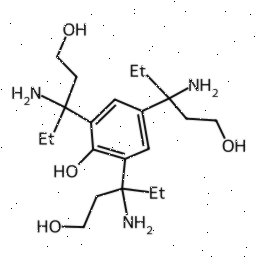 CCC(N)(CCO)c1cc(C(N)(CC)CCO)c(O)c(C(N)(CC)CCO)c1